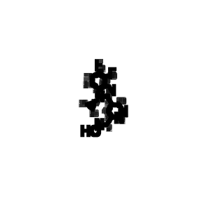 ON=Cc1cc(-c2nc3c(F)c(F)ccc3n2C2CC2)cnn1